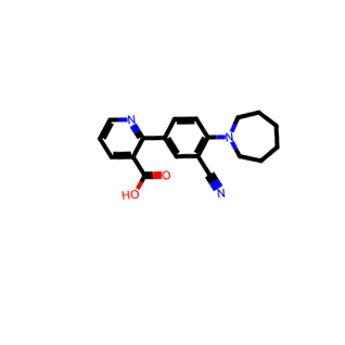 N#Cc1cc(-c2ncccc2C(=O)O)ccc1N1CCCCCC1